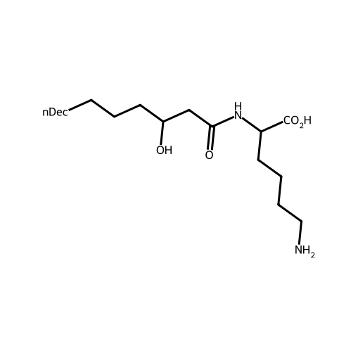 CCCCCCCCCCCCCC(O)CC(=O)NC(CCCCN)C(=O)O